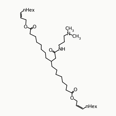 CCCCCC/C=C\COC(=O)CCCCCCCC(CCCCCCCC(=O)OC/C=C\CCCCCC)CC(=O)NCCCN(C)C